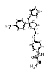 Cc1ccc(C2(Cn3ccnc3)OCC(COc3ccc(NC(=O)NN)cc3)O2)cc1